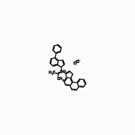 C[C](C)=[Zr+2]([C]1=CCc2c1ccc1ccc3ccccc3c21)[CH]1C=Cc2c(-c3ccccc3)cccc21.[Cl-].[Cl-]